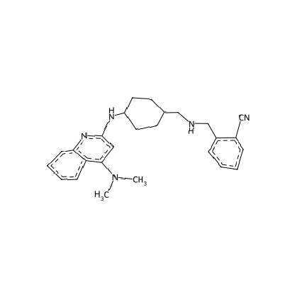 CN(C)c1cc(NC2CCC(CNCc3ccccc3C#N)CC2)nc2ccccc12